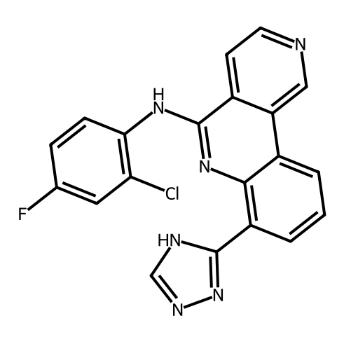 Fc1ccc(Nc2nc3c(-c4nnc[nH]4)cccc3c3cnccc23)c(Cl)c1